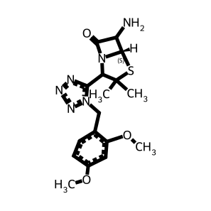 COc1ccc(Cn2nnnc2C2N3C(=O)C(N)[C@@H]3SC2(C)C)c(OC)c1